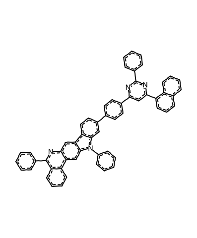 c1ccc(-c2nc(-c3ccc(-c4ccc5c6cc7nc(-c8ccccc8)c8ccccc8c7cc6n(-c6ccccc6)c5c4)cc3)cc(-c3cccc4ccccc34)n2)cc1